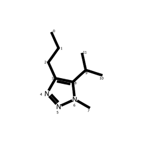 CCCc1nnn(C)c1C(C)C